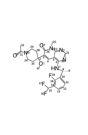 COC1(c2cc3c(N[C@H](C)c4cccc(C(F)F)c4F)ncnc3n(C)c2=O)CCN(C(C)=O)CC1